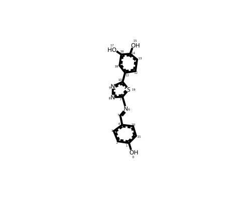 Oc1ccc(C=Nc2nnc(-c3ccc(O)c(O)c3)s2)cc1